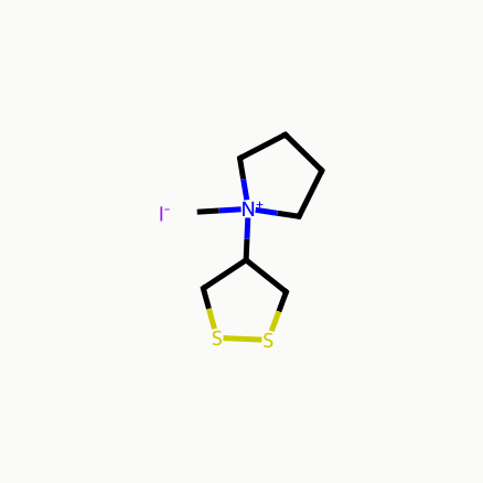 C[N+]1(C2CSSC2)CCCC1.[I-]